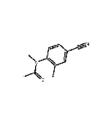 [CH2]C(=O)N(C)c1ccc(C#N)cc1F